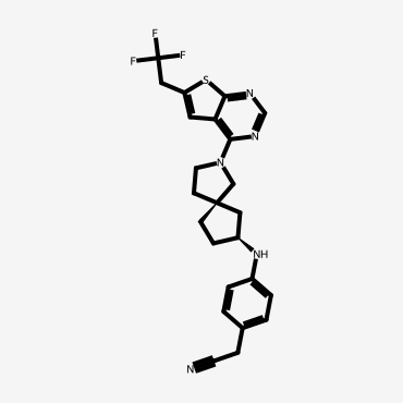 N#CCc1ccc(N[C@H]2CC[C@]3(CCN(c4ncnc5sc(CC(F)(F)F)cc45)C3)C2)cc1